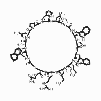 CCCC[C@H]1C(=O)N(C)[C@@H](CCCC)C(=O)N[C@@H](CCCNC(=N)N)C(=O)N[C@@H](C(=O)NCC(N)=O)CSCC(=O)N[C@@H](Cc2cccc3ccccc23)C(=O)N(C)[C@@H](C)C(=O)N[C@@H](CC(N)=O)C(=O)N2CCC[C@H]2C(=O)N[C@@H](Cc2cnc[nH]2)C(=O)N[C@@H](CC(C)C)C(=O)N(C)CC(=O)N[C@@H](Cc2c[nH]c3ccccc23)C(=O)N[C@@H](CO)C(=O)N[C@@H](Cc2c[nH]c3ccccc23)C(=O)N1C